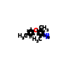 Cc1ccc(Oc2cc(C)c([N+]#N)cc2C)cc1